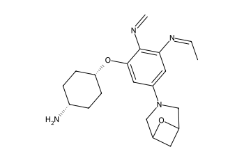 C=Nc1c(/N=C\C)cc(N2CC3CC(C2)O3)cc1O[C@H]1CC[C@@H](N)CC1